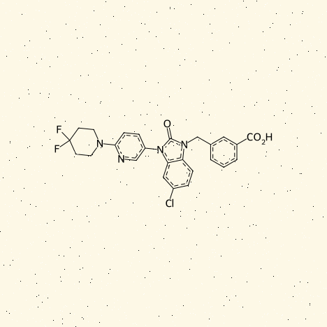 O=C(O)c1cccc(Cn2c(=O)n(-c3ccc(N4CCC(F)(F)CC4)nc3)c3cc(Cl)ccc32)c1